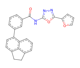 O=C(Nc1nnc(-c2ccco2)o1)c1cccc(-c2ccc3c4c(cccc24)CC3)c1